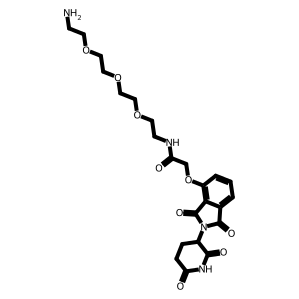 NCCOCCOCCOCCNC(=O)COc1cccc2c1C(=O)N(C1CCC(=O)NC1=O)C2=O